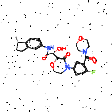 C[C@H]1CCc2cc(NC(=O)[C@H](O)[C@H]3OCCN(c4ccc(F)c(C(=O)N5CCOCC5)c4)C3=O)ccc21